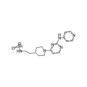 O=[SH](=O)NCCC1CCN(c2ccnc(Nc3ccncc3)n2)CC1